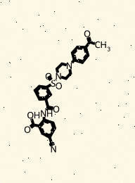 CC(=O)c1ccc(N2CCN(S(=O)(=O)c3cccc(C(=O)Nc4ccc(C#N)cc4C(=O)O)c3)CC2)cc1